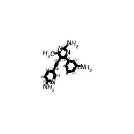 Cc1nc(N)nc(-c2cccc(N)c2)c1C#Cc1ccc(N)nc1